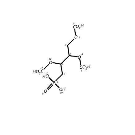 O=C(O)OCC(OC(=O)O)C(CP(=O)(O)O)OC(=O)O